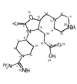 N=C(N)N1CCC(N2C(=O)OC(CN3CCNCC3)C2CCC(=O)O)CC1